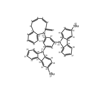 C=C1/C=C\C=C/Cc2ccccc2N1c1cc(-n2c3ccccc3c3cc(C(C)(C)C)ccc32)cc(-n2c3ccccc3c3cc(C(C)(C)C)ccc32)c1